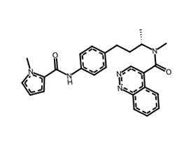 C[C@@H](CCc1ccc(NC(=O)c2cccn2C)cc1)N(C)C(=O)c1cnnc2ccccc12